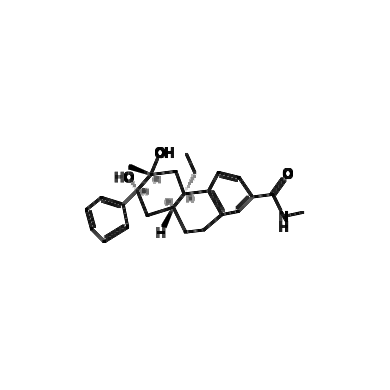 CC[C@@]12C[C@@](C)(O)[C@](O)(c3ccccc3)C[C@H]1CCc1cc(C(=O)NC)ccc12